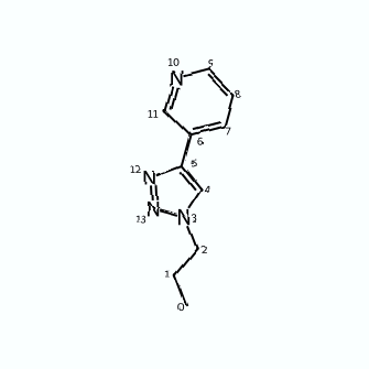 CCCn1cc(-c2cccnc2)nn1